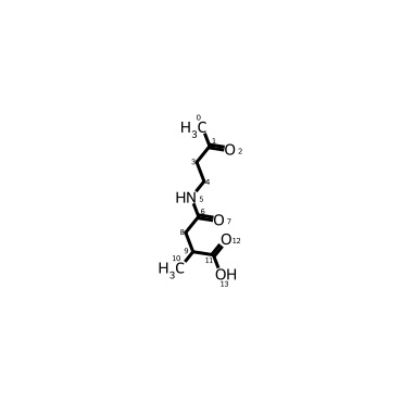 CC(=O)CCNC(=O)CC(C)C(=O)O